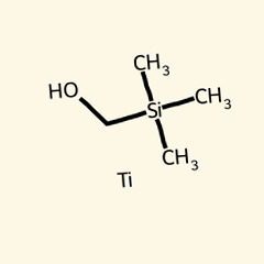 C[Si](C)(C)CO.[Ti]